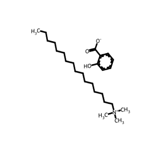 CCCCCCCCCCCCCCCC[N+](C)(C)C.O=C([O-])c1ccccc1O